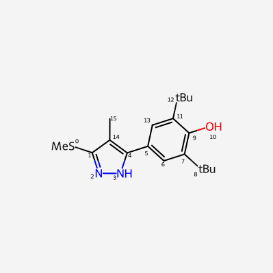 CSc1n[nH]c(-c2cc(C(C)(C)C)c(O)c(C(C)(C)C)c2)c1C